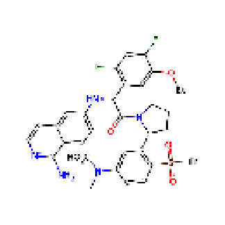 CCOc1cc([C@@H](Nc2ccc3c(N)nccc3c2)C(=O)N2CCC[C@@H]2c2cc(N(C)C(=O)O)ccc2S(=O)(=O)C(C)C)c(F)cc1F